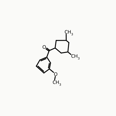 COc1cccc(C(=O)C2CC(C)CC(C)C2)c1